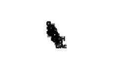 CC(=O)OCC(=O)[C@@]1(O)CCC2C3CCC4=CC(=O)C=C[C@]4(C)[C@]34OC4C[C@@]21C